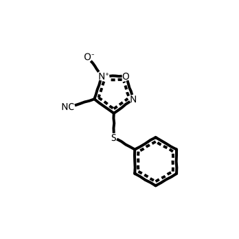 N#Cc1c(Sc2ccccc2)no[n+]1[O-]